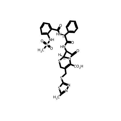 Cc1nnc(SCC2=C(C(=O)O)N3C(=O)C(NC(=O)[C@@H](NC(=O)c4ccccc4NS(C)(=O)=O)c4ccccc4)[C@@H]3SC2)s1